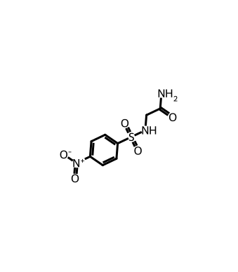 NC(=O)CNS(=O)(=O)c1ccc([N+](=O)[O-])cc1